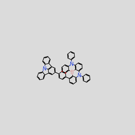 c1ccc(N2c3ccccc3B3c4c(-c5ccc(-c6cc7c8ccccc8n8c9ccccc9c(c6)c78)cc5)cccc4N(c4ccccc4)c4cccc2c43)cc1